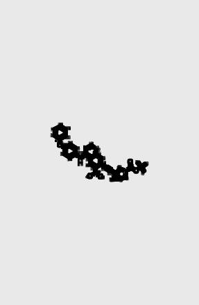 CC(C)(C)OC(=O)N1CC2CC2(C#Cc2cc3ncnc(Nc4ccc(Oc5ccccc5)cc4)c3cc2[N+](=O)[O-])C1